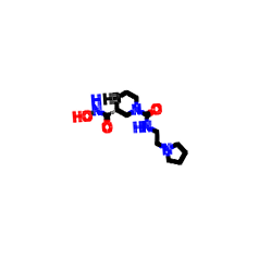 O=C(NO)[C@@H]1BCCN(C(=O)NCCN2CCCC2)C1